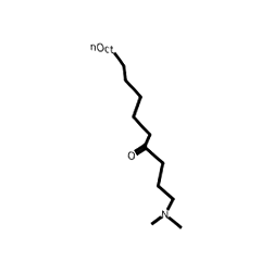 CCCCCCCCCCCCCC(=O)CCCN(C)C